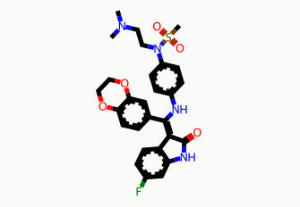 CN(C)CCN(c1ccc(N/C(=C2\C(=O)Nc3cc(F)ccc32)c2ccc3c(c2)OCCO3)cc1)S(C)(=O)=O